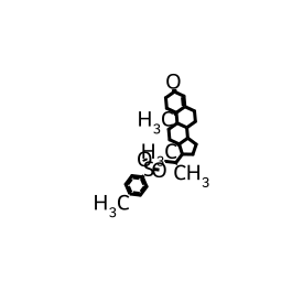 Cc1ccc(S(=O)OC[C@@H](C)C2CCC3C4CCC5=CC(=O)CCC5(C)C4CCC32C)cc1